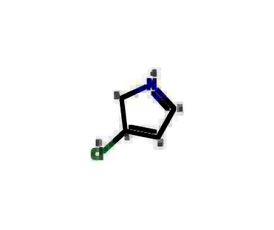 ClC1=CC=NC1